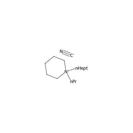 CCCCCCC[N+]1(CCC)CCCCC1.[C-]#N